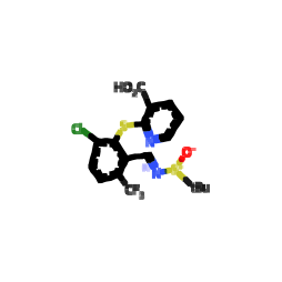 CC(C)(C)[S+]([O-])/N=C/c1c(C(F)(F)F)ccc(Cl)c1Sc1ncccc1C(=O)O